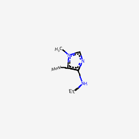 CCNc1ncn(C)c1NC